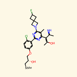 CNC[C@@H](O)COc1ccc(Cl)c(-c2nc(/C(C(C)=N)=C(\C)O)c(C)c(N3CC4(CC(F)C4)C3)n2)c1